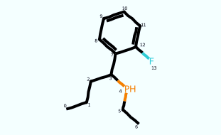 CCCC(PCC)c1ccccc1F